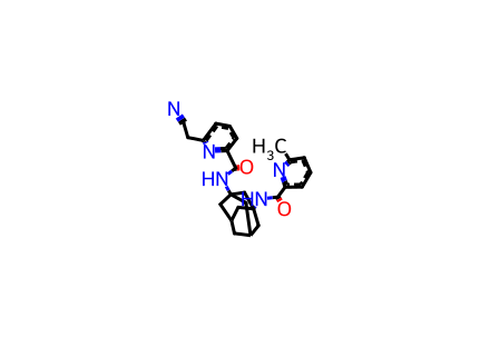 Cc1cccc(C(=O)NC23CC4CC(C2)CC(NC(=O)c2cccc(CC#N)n2)(C4)C3)n1